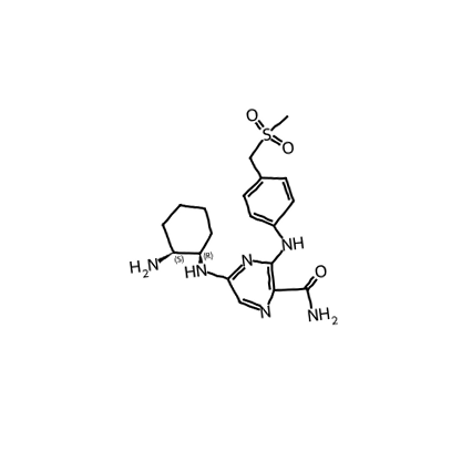 CS(=O)(=O)Cc1ccc(Nc2nc(N[C@@H]3CCCC[C@@H]3N)cnc2C(N)=O)cc1